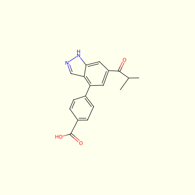 CC(C)C(=O)c1cc(-c2ccc(C(=O)O)cc2)c2cn[nH]c2c1